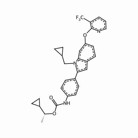 C[C@@H](OC(=O)Nc1ccc(-c2cc3ccc(Oc4ncccc4C(F)(F)F)cc3n2CC2CC2)cc1)C1CC1